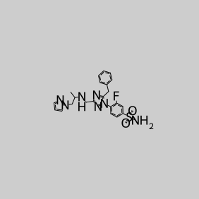 CC(Cn1cccn1)NCc1nc(Cc2ccccc2)n(-c2ccc(S(N)(=O)=O)cc2F)n1